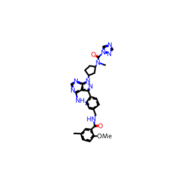 COc1ccc(C)cc1C(=O)NCc1ccc(-c2nn(C3CCC(N(C)C(=O)n4cncn4)C3)c3ncnc(N)c23)cc1